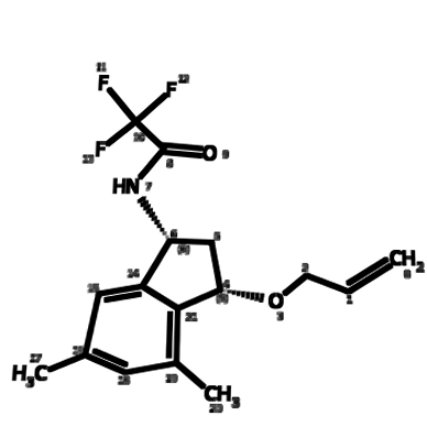 C=CCO[C@H]1C[C@@H](NC(=O)C(F)(F)F)c2cc(C)cc(C)c21